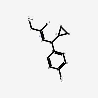 OC/C(F)=C/C(c1ccc(Cl)cc1)C1CC1